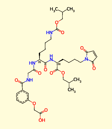 CC(C)COC(=O)NCCCC[C@H](NC(=O)CNC(=O)c1cccc(OCC(=O)O)c1)C(=O)N[C@@H](CCCCN1C(=O)C=CC1=O)C(=O)OCC(C)C